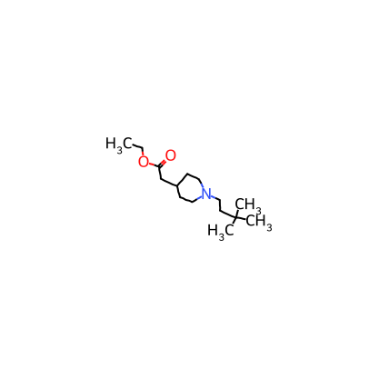 CCOC(=O)CC1CCN(CCC(C)(C)C)CC1